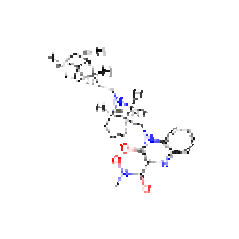 CON(C)C(=O)c1nc2ccccc2n(C2C[C@H]3N(CC[C@@H]4CC[C@H]5C[C@@H]4C5(C)C)[C@@H]4CCCC243)c1=O